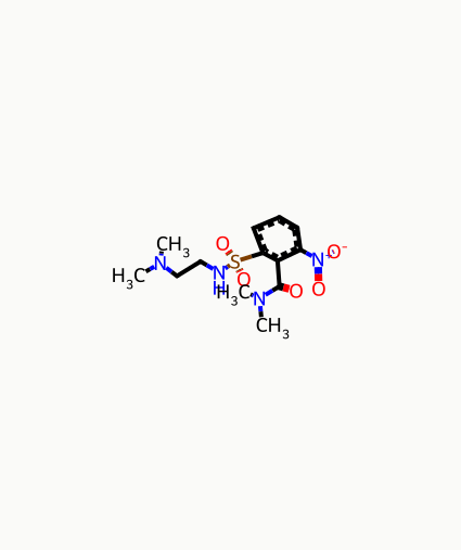 CN(C)CCNS(=O)(=O)c1cccc([N+](=O)[O-])c1C(=O)N(C)C